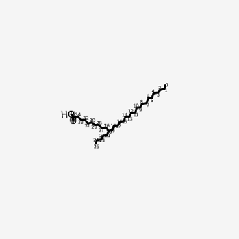 CCCCCCCCCCCCCCCCCCC=CC(CCCCC)CCCCCCCCCC(=O)O